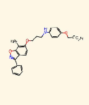 CCCc1c(OCCCNc2ccc(OCC(=O)O)cc2)ccc2c(-c3ccccc3)noc12